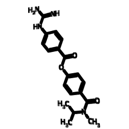 CC(C)N(C)C(=O)c1ccc(OC(=O)c2ccc(NC(=N)N)cc2)cc1